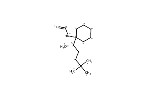 C[C@@H](CCC(C)(C)C)C1(NC=O)CCCCC1